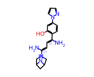 N/C(=C\C=C(/N)N1CC2CC(C1)N2)c1ccc(-n2cccn2)cc1O